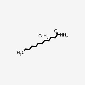 CCCCCCCCCCCC(N)=O.[CaH2]